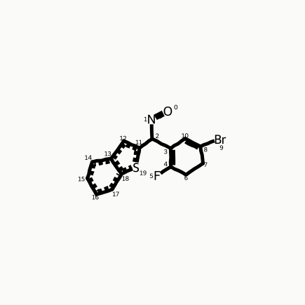 O=NC(C1=C(F)CCC(Br)=C1)c1cc2ccccc2s1